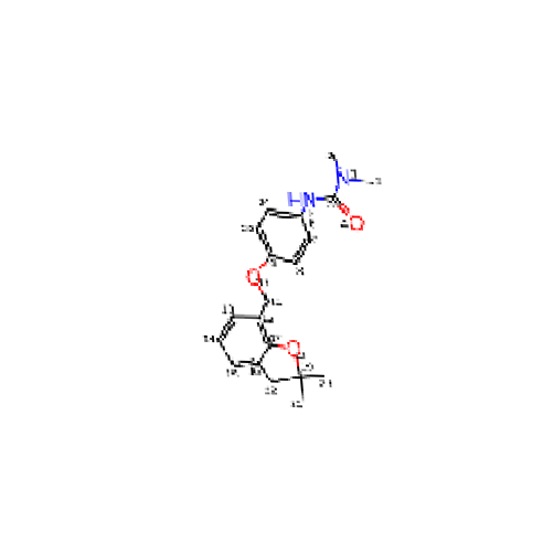 CN(C)C(=O)Nc1ccc(OCc2cccc3c2OC(C)(C)C3)cc1